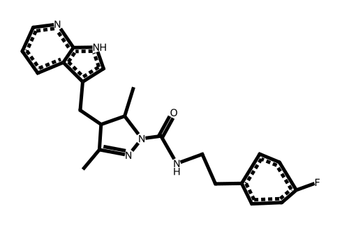 CC1=NN(C(=O)NCCc2ccc(F)cc2)C(C)C1Cc1c[nH]c2ncccc12